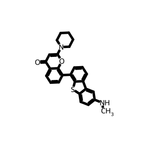 CNc1ccc2sc3c(-c4cccc5c(=O)cc(N6CCCCC6)oc45)cccc3c2c1